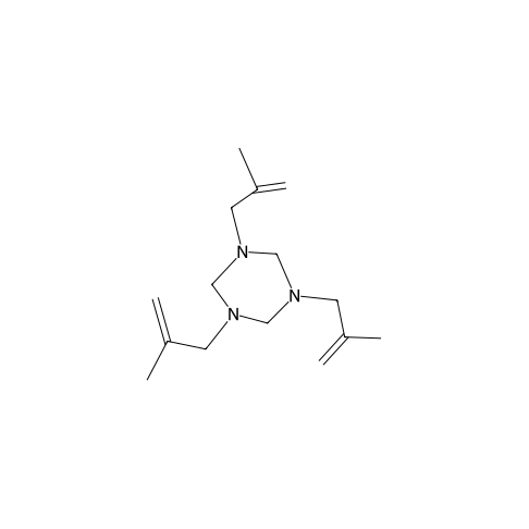 C=C(C)CN1CN(CC(=C)C)CN(CC(=C)C)C1